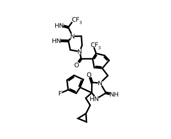 N=C1CN(C(=O)c2cc(CN3C(=N)NC(CCC4CC4)(c4cccc(F)c4)C3=O)ccc2C(F)(F)F)CCN1C(=N)C(F)(F)F